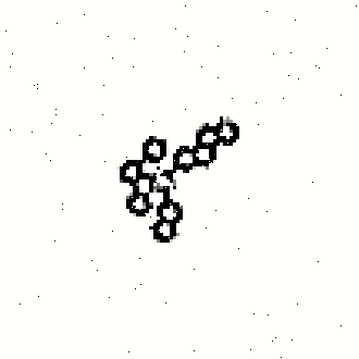 c1ccc(-c2cccc(-c3ccccc3)c2-c2nc(-c3ccc4ccccc4c3)nc(-c3ccc4c(ccc5c6cccnc6ccc45)c3)n2)cc1